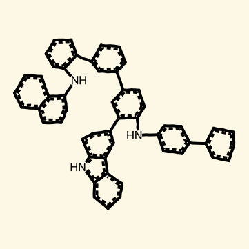 c1ccc(-c2ccc(Nc3ccc(-c4cccc(-c5ccccc5Nc5cccc6ccccc56)c4)cc3-c3ccc4[nH]c5ccccc5c4c3)cc2)cc1